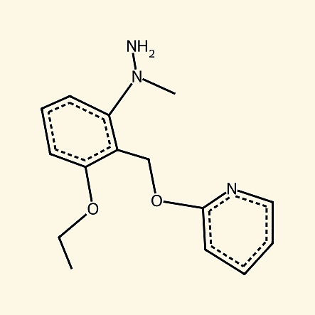 CCOc1cccc(N(C)N)c1COc1ccccn1